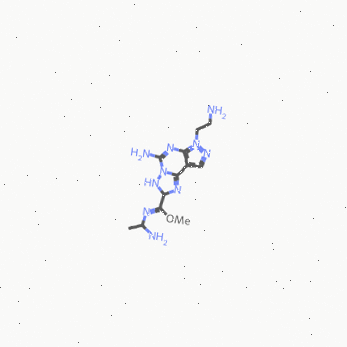 CO/C(=N\C(C)N)C1N=C2c3cnn(CCN)c3N=C(N)N2N1